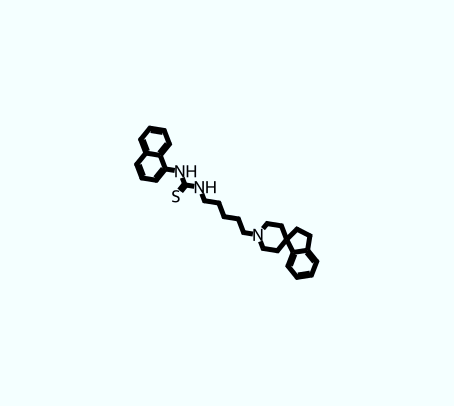 S=C(NCCCCCN1CCC2(CCc3ccccc32)CC1)Nc1cccc2ccccc12